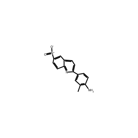 Cc1cc(-c2ccc3cc([N+](=O)[O-])ccc3n2)ccc1N